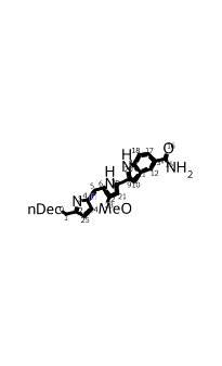 CCCCCCCCCCCC1=N/C(=C/c2[nH]c(-c3cc4cc(C(N)=O)ccc4[nH]3)cc2OC)C=C1